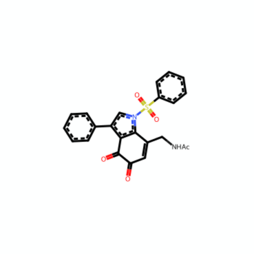 CC(=O)NCC1=CC(=O)C(=O)c2c(-c3ccccc3)cn(S(=O)(=O)c3ccccc3)c21